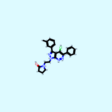 Cc1cccc(-c2nn(CCN3CCCC3=O)c3nnc(-c4ccccc4)c(Cl)c23)c1